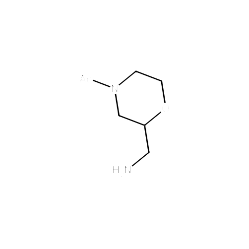 CC(=O)N1CCOC(CN)C1